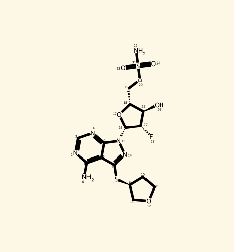 Nc1ncnc2c1c(S[C@H]1CCOC1)nn2[C@@H]1O[C@H](COS(N)(=O)=O)[C@@H](O)[C@@H]1F